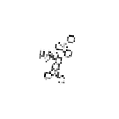 N/C=C\c1c(-c2cccc3c2c2ccccc2n3-c2ccccc2)cc2cc3c(cc2c1N)c1ccccc1n3-c1ccccc1